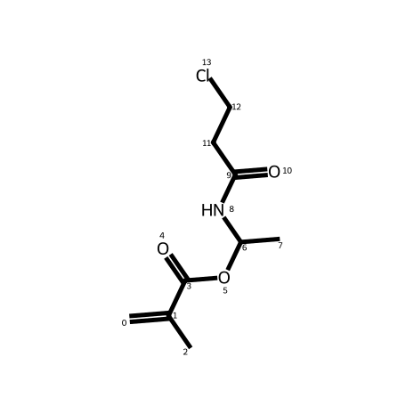 C=C(C)C(=O)OC(C)NC(=O)CCCl